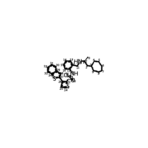 C[C@@H](CC1CCCCCC1)NCc1ccccc1NS(=O)(=O)c1sccc1-c1cc2ccccc2s1